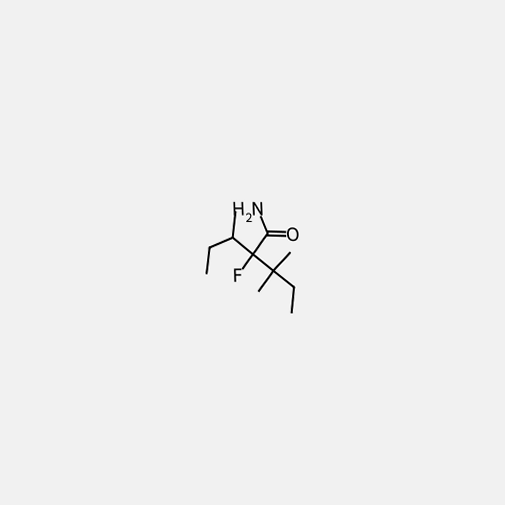 CCC(C)C(F)(C(N)=O)C(C)(C)CC